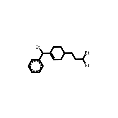 CCC(CC)CCC1CC=C(C(CC)c2ccccc2)CC1